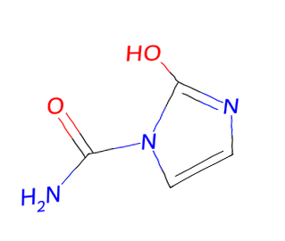 NC(=O)n1ccnc1O